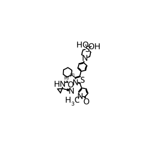 Cn1cc(-c2nc([C@@H]3CCCC[C@H]3C(=O)NC3(C#N)CC3)c(-c3ccc(N4CCS(O)(O)CC4)cc3)s2)ccc1=O